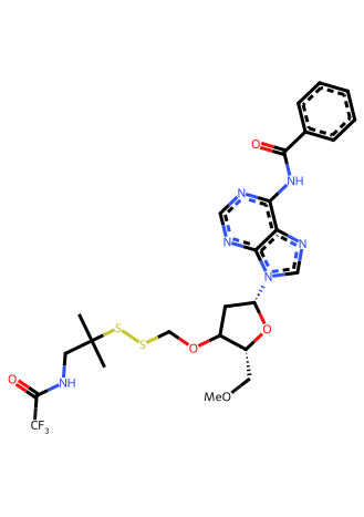 COC[C@H]1O[C@@H](n2cnc3c(NC(=O)c4ccccc4)ncnc32)CC1OCSSC(C)(C)CNC(=O)C(F)(F)F